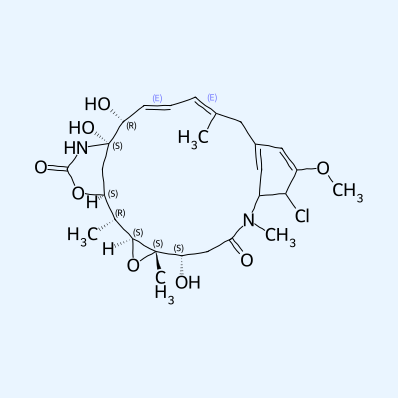 COC1=CC2=CC(C1Cl)N(C)C(=O)C[C@H](O)[C@]1(C)O[C@H]1[C@H](C)[C@@H]1C[C@@](O)(NC(=O)O1)[C@H](O)/C=C/C=C(\C)C2